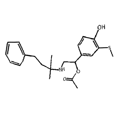 CSc1cc(C(CNC(C)(C)CCc2ccccc2)OC(C)=O)ccc1O